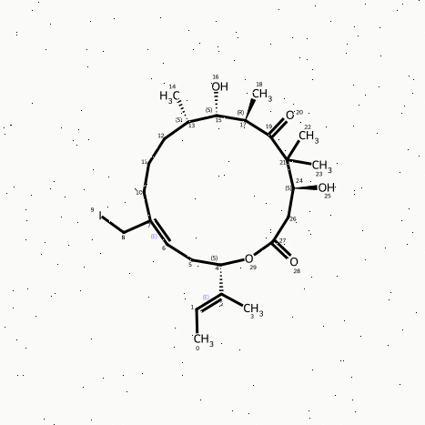 C/C=C(\C)[C@@H]1C/C=C(/CI)CCC[C@H](C)[C@H](O)[C@@H](C)C(=O)C(C)(C)[C@@H](O)CC(=O)O1